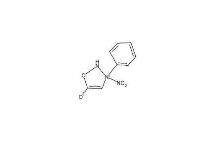 O=[N+]([O-])[N+]1(c2ccccc2)C=C([O-])ON1